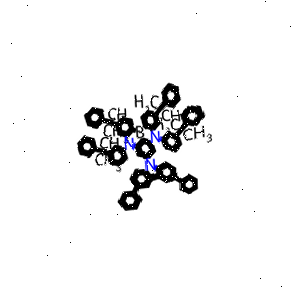 CC(C)(c1ccccc1)c1cccc(N2c3cc(C(C)(C)c4ccccc4)ccc3B3c4ccc(C(C)(C)c5ccccc5)cc4N(c4cccc(C(C)(C)c5ccccc5)c4)c4cc(-n5c6ccc(-c7ccccc7)cc6c6cc(-c7ccccc7)ccc65)cc2c43)c1